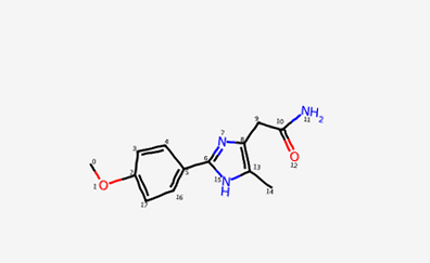 COc1ccc(-c2nc(CC(N)=O)c(C)[nH]2)cc1